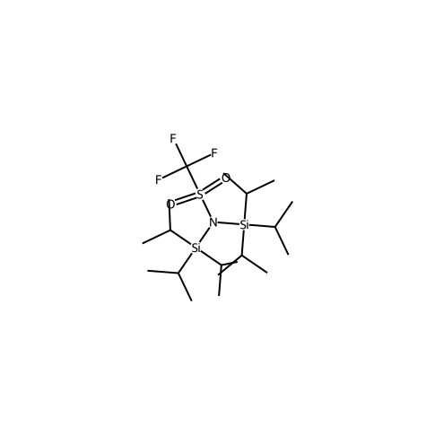 CC(C)[Si](C(C)C)(C(C)C)N([Si](C(C)C)(C(C)C)C(C)C)S(=O)(=O)C(F)(F)F